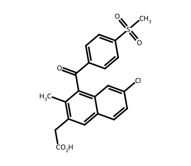 Cc1c(CC(=O)O)cc2ccc(Cl)cc2c1C(=O)c1ccc(S(C)(=O)=O)cc1